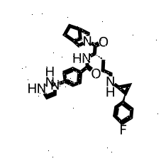 O=C(N[C@@H](CCCNC1C[C@H]1c1ccc(F)cc1)C(=O)N1CC2CCC(C2)C1)c1ccc(N2C=CNN2)cc1